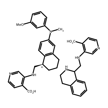 COc1cccc(N(C)c2ccc3c(c2)CCC[C@H]3CNc2cnccc2C(=O)O)c1.O=C(O)c1ccncc1NCC1NCCc2ccccc21